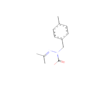 CC(C)=NN(Cc1ccc(C)cc1)C(=O)O